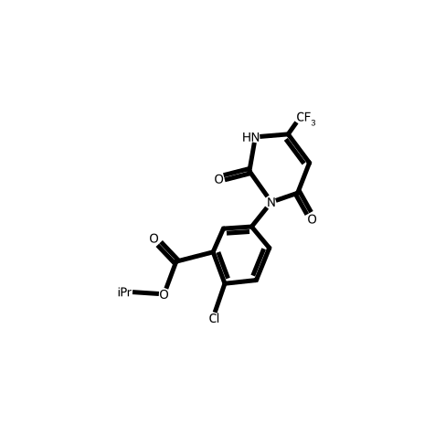 CC(C)OC(=O)c1cc(-n2c(=O)cc(C(F)(F)F)[nH]c2=O)ccc1Cl